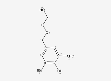 CC(C)(C)c1cc(COCCO)cc(C=O)c1O